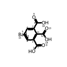 O=C(O)c1cccc(C(=O)O)c1C(=O)O.[BaH2]